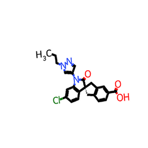 CCCn1cc(N2C(=O)[C@]3(Cc4ccc(C(=O)O)cc4C3)c3ccc(Cl)cc32)cn1